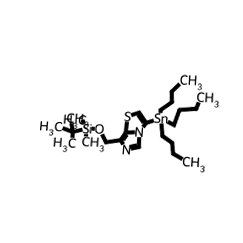 CCC[CH2][Sn]([CH2]CCC)([CH2]CCC)[c]1csc2c(CO[Si](C)(C)C(C)(C)C)ncn12